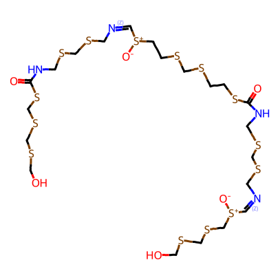 O=C(NCSCSC/N=C\[S+]([O-])CSCSCO)SCCSCSCC[S+]([O-])/C=N\CSCSCNC(=O)SCSCSCO